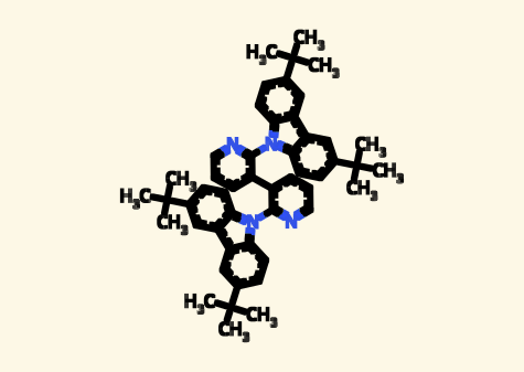 CC(C)(C)c1ccc2c(c1)c1cc(C(C)(C)C)ccc1n2-c1ncccc1-c1cccnc1-n1c2ccc(C(C)(C)C)cc2c2cc(C(C)(C)C)ccc21